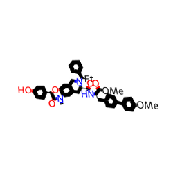 CC[C@@H](c1ccccc1)N1Cc2cc3c(cc2C[C@H]1C(=O)N[C@@H](Cc1ccc(-c2ccc(OC)cc2)cc1)C(=O)OC)N(C)C(=O)[C@@H](c1ccc(O)cc1)O3